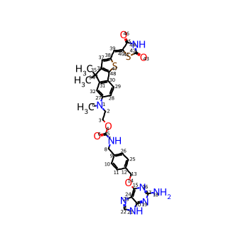 CN(CCOC(=O)NCc1ccc(COc2nc(N)nc3[nH]cnc23)cc1)c1ccc2c(c1)C(C)(C)c1cc(/C=C3\SC(=O)NC3=O)sc1-2